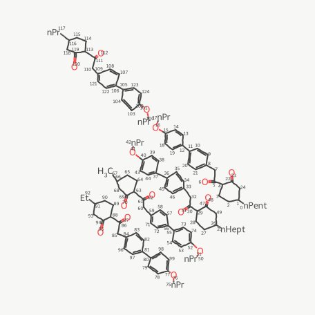 CCCCCC1CCC(C(=O)Cc2ccc(-c3ccc(OCCC)cc3)cc2)C(=O)C1.CCCCCCCC1CCC(C(=O)Cc2ccc(-c3ccc(OCCC)cc3)cc2)C(=O)C1.CCCOc1ccc(-c2ccc(CC(=O)C3CCC(C)CC3=O)cc2)cc1.CCCOc1ccc(-c2ccc(CC(=O)C3CCC(CC)CC3=O)cc2)cc1.CCCOc1ccc(-c2ccc(CC(=O)C3CCC(CCC)CC3=O)cc2)cc1